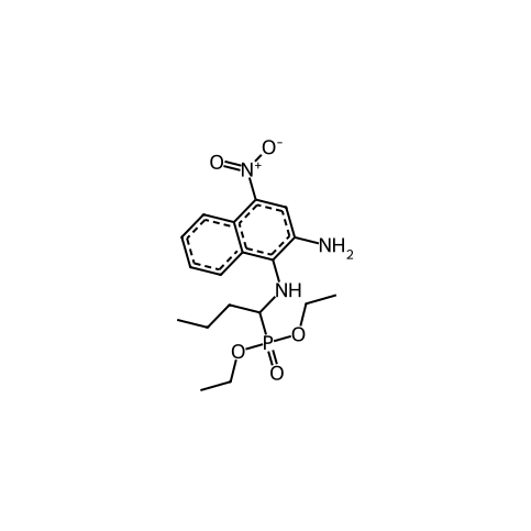 CCCC(Nc1c(N)cc([N+](=O)[O-])c2ccccc12)P(=O)(OCC)OCC